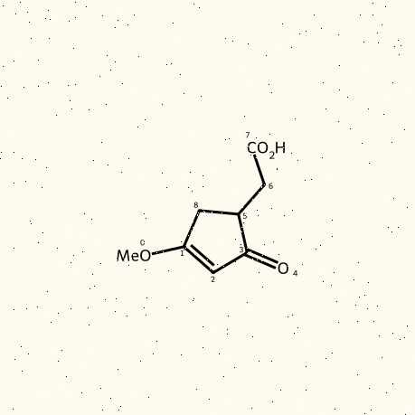 COC1=CC(=O)C(CC(=O)O)C1